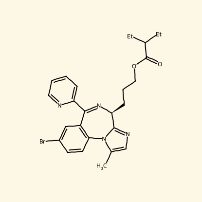 CCC(CC)C(=O)OCCC[C@@H]1N=C(c2ccccn2)c2cc(Br)ccc2-n2c(C)cnc21